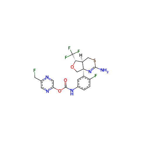 NC1=N[C@@]2(c3cc(NC(=O)Oc4cnc(CF)cn4)ccc3F)CO[C@H](C(F)(F)F)[C@H]2CS1